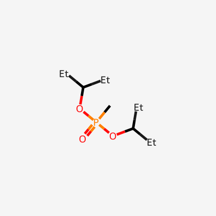 CCC(CC)OP(C)(=O)OC(CC)CC